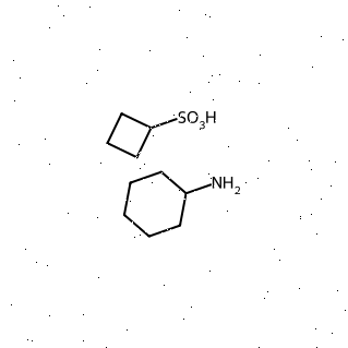 NC1CCCCC1.O=S(=O)(O)C1CCC1